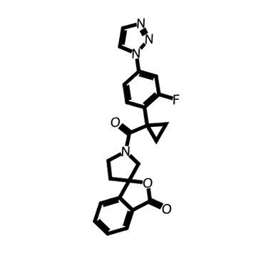 O=C1OC2(CCN(C(=O)C3(c4ccc(-n5ccnn5)cc4F)CC3)C2)c2ccccc21